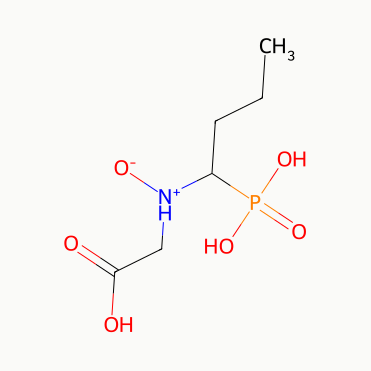 CCCC([NH+]([O-])CC(=O)O)P(=O)(O)O